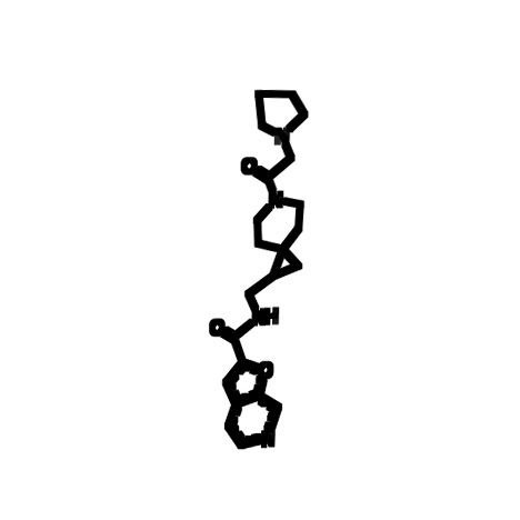 O=C(NCC1CC12CCN(C(=O)CN1CCCC1)CC2)c1cc2ccncc2o1